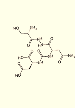 NC(=O)C[C@H](NC(=O)N[C@@H](CC(=O)O)C(=O)O)C(=O)NNC(=O)[C@@H](N)CO